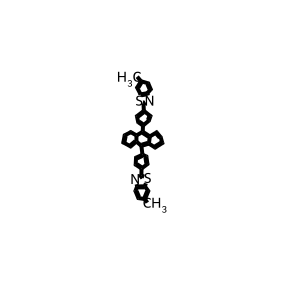 Cc1ccc2nc(-c3ccc(C4=c5ccccc5=C(c5ccc(-c6nc7ccc(C)cc7s6)cc5)C5CC=CC=C45)cc3)sc2c1